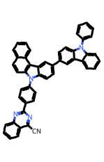 N#Cc1nc(-c2ccc(-n3c4ccc(-c5ccc6c(c5)c5ccccc5n6-c5ccccc5)cc4c4c5ccccc5ccc43)cc2)nc2ccccc12